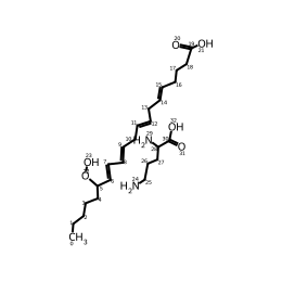 CCCCCC(C=CC=CCC=CCC=CCCCC(=O)O)OO.NCCCC(N)C(=O)O